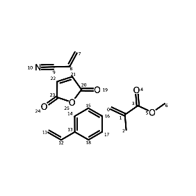 C=C(C)C(=O)OC.C=CC#N.C=Cc1ccccc1.O=C1C=CC(=O)O1